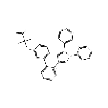 CC(C)(Oc1cccc(-c2ccccc2-c2cc(-c3ccccc3)n(-c3ccccc3)n2)c1)C(=O)O